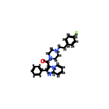 O=C(c1c(-c2ccccc2)nc2ccccn12)N1CCN(CCc2ccc(F)cc2)CC1